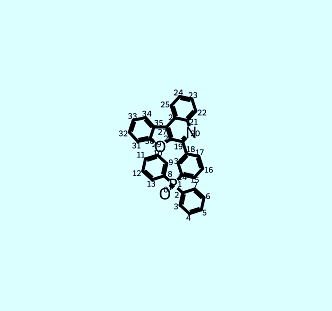 O=P(c1ccccc1)(c1ccccc1)c1cccc(-c2nc3ccccc3c3c2oc2ccccc23)c1